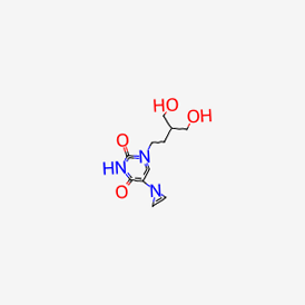 O=c1[nH]c(=O)n(CCC(CO)CO)cc1N1C=C1